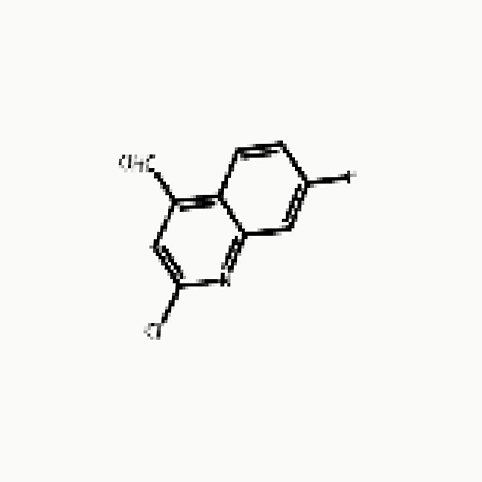 O=Cc1cc(Cl)nc2cc(F)ccc12